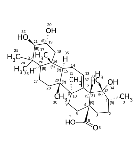 C[C@@H]1CC[C@]2(C(=O)O)CC[C@]3(C)C(=CC[C@@H]4[C@@]5(C)C[C@@H](O)[C@H](O)C(C)(C)[C@@H]5CC[C@]43C)[C@@H]2[C@]1(C)O